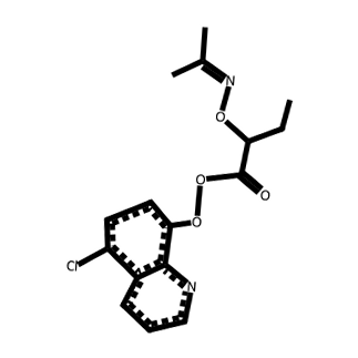 CCC(ON=C(C)C)C(=O)OOc1ccc(Cl)c2cccnc12